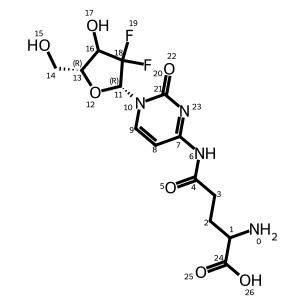 NC(CCC(=O)Nc1ccn([C@@H]2O[C@H](CO)C(O)C2(F)F)c(=O)n1)C(=O)O